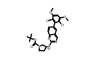 COc1cc(OC)c(Cl)c(-c2ccc3nc(N[C@H]4CCN(C(=O)OC(C)(C)C)C4)ncc3c2)c1Cl